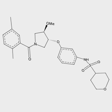 CO[C@@H]1CN(C(=O)c2cc(C)ccc2C)C[C@H]1Oc1cccc(NS(=O)(=O)C2CCOCC2)c1